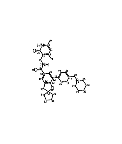 Cc1cc(C)c(CNC(=O)c2cc3c(c(-c4ccc(CN5CCCCC5)cc4)c2)OC2(CCCC2)C3)c(=O)[nH]1